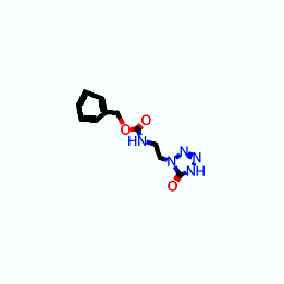 O=C(NCCn1nn[nH]c1=O)OCc1ccccc1